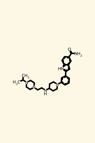 CC(C)N1CCN(CCNC2CCN(c3cccc(-c4cc5cc(C(N)=O)ccc5[nH]4)c3)CC2)CC1